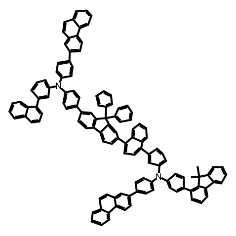 CC1(C)c2ccccc2-c2cccc(-c3ccc(N(c4ccc(-c5ccc6c(ccc7ccccc76)c5)cc4)c4cccc(-c5ccc(-c6ccc7c(c6)C(c6ccccc6)(c6ccccc6)c6cc(-c8ccc(N(c9ccc(-c%10ccc%11c(ccc%12ccccc%12%11)c%10)cc9)c9cccc(-c%10cccc%11ccccc%10%11)c9)cc8)ccc6-7)c6ccccc56)c4)cc3)c21